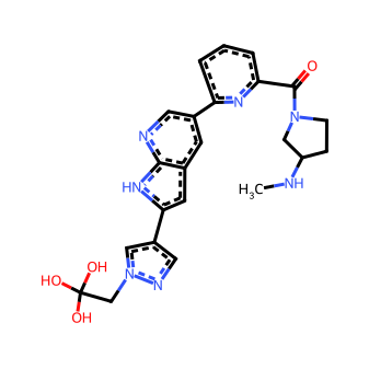 CNC1CCN(C(=O)c2cccc(-c3cnc4[nH]c(-c5cnn(CC(O)(O)O)c5)cc4c3)n2)C1